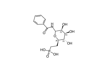 O=C(NC1O[C@H](CCP(=O)(O)O)[C@@H](O)[C@H](O)[C@@H]1O)c1ccccc1